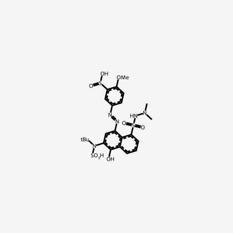 COc1ccc(N=Nc2cc(N(C(C)(C)C)S(=O)(=O)O)c(O)c3cccc(S(=O)(=O)NN(C)C)c23)cc1S(=O)O